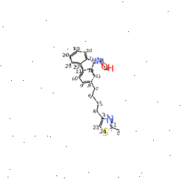 Cc1nc(CCCCc2ccc3c(c2)/C(=N\O)c2ccccc2-3)cs1